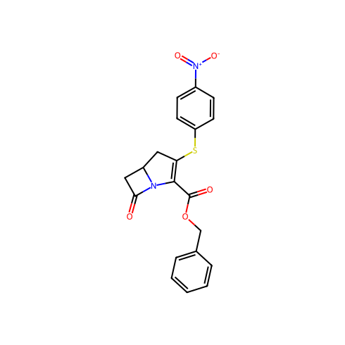 O=C(OCc1ccccc1)C1=C(Sc2ccc([N+](=O)[O-])cc2)CC2CC(=O)N12